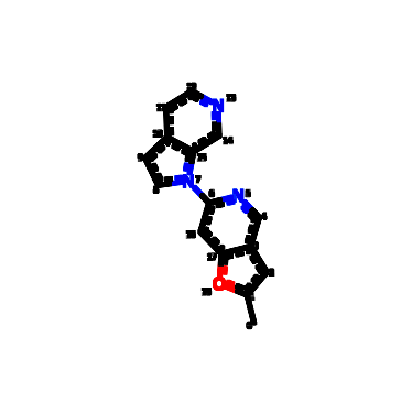 Cc1cc2cnc(-n3ccc4ccncc43)cc2o1